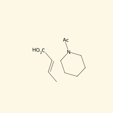 C/C=C/C(=O)O.CC(=O)N1CCCCC1